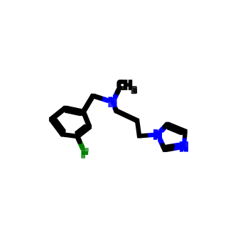 CN(CCCn1ccnc1)Cc1cccc(F)c1